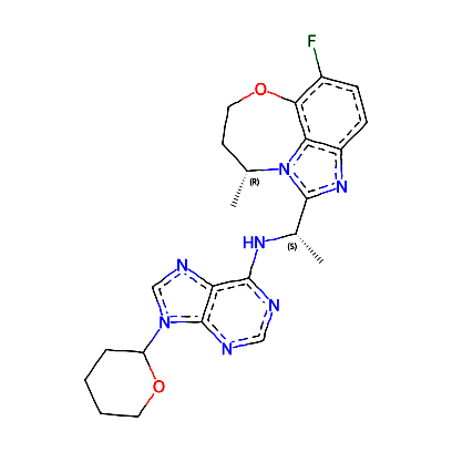 C[C@H](Nc1ncnc2c1ncn2C1CCCCO1)c1nc2ccc(F)c3c2n1[C@H](C)CCO3